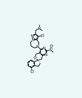 CN(C)Cc1nn2c(c1Cl)CN(c1nc([S+](C)[O-])nc3c1CO[C@@]1(CCc4c(Cl)cccc41)C3)CCC2